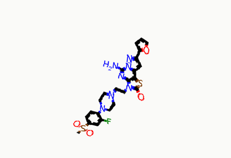 CS(=O)(=O)c1ccc(N2CCN(CCn3c(=O)sc4c3nc(N)n3nc(-c5ccco5)cc43)CC2)c(F)c1